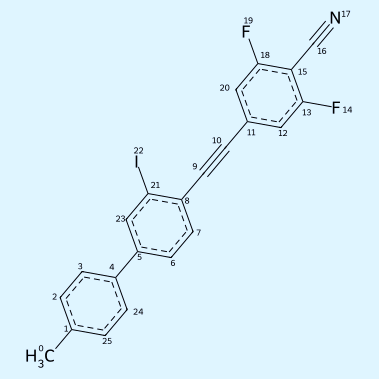 Cc1ccc(-c2ccc(C#Cc3cc(F)c(C#N)c(F)c3)c(I)c2)cc1